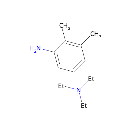 CCN(CC)CC.Cc1cccc(N)c1C